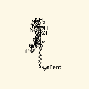 CCCCC/C=C\C/C=C\CCCCCCCCOC(=O)[C@H](C)NP(=O)(OCOC(=O)OC(C)C)OC[C@H]1O[C@@](C#N)(c2ccc3c(N)ncnn23)[C@H](O)[C@@H]1O